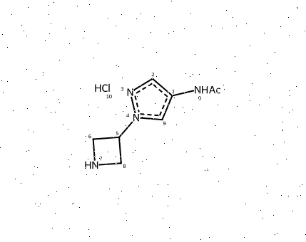 CC(=O)Nc1cnn(C2CNC2)c1.Cl